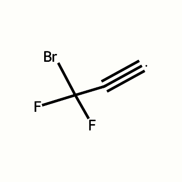 [C]#CC(F)(F)Br